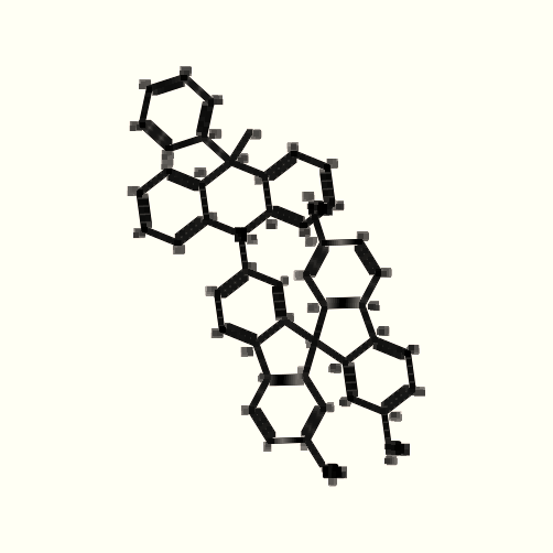 CC(C)(C)c1ccc2c(c1)C1(c3cc(N4c5ccccc5C(C)(c5ccccc5)c5ccccc54)ccc3-2)c2cc(C(C)(C)C)ccc2-c2ccc(C(C)(C)C)cc21